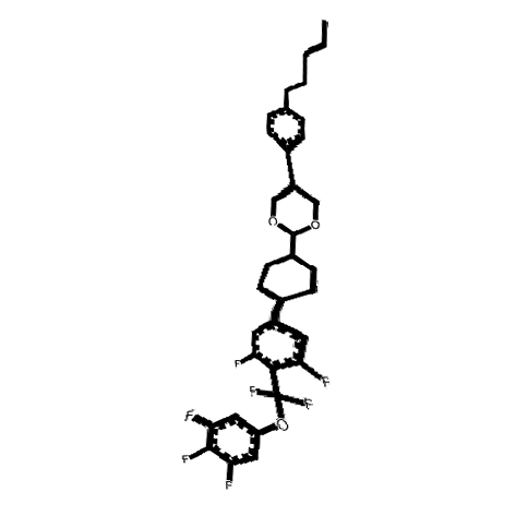 CCCCCc1ccc(C2COC(C3CCC(c4cc(F)c(C(F)(F)Oc5cc(F)c(F)c(F)c5)c(F)c4)CC3)OC2)cc1